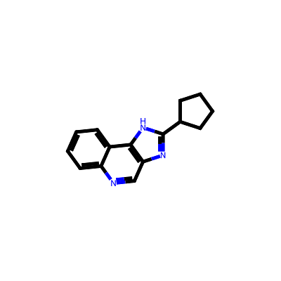 c1ccc2c(c1)ncc1nc(C3CCCC3)[nH]c12